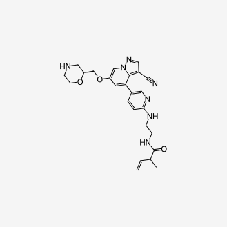 C=CC(C)C(=O)NCCNc1ccc(-c2cc(OC[C@@H]3CNCCO3)cn3ncc(C#N)c23)cn1